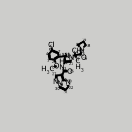 COc1ccc(Cl)cc1-c1nn(C(C)(C)C(=O)N2CCC2)cc1NC(=O)c1cnn2cccnc12